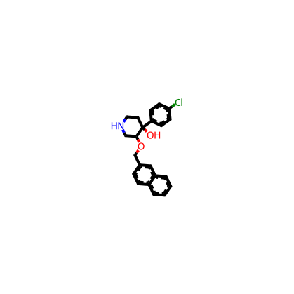 OC1(c2ccc(Cl)cc2)CCNCC1OCc1ccc2ccccc2c1